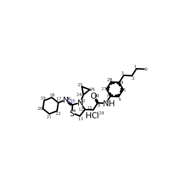 CCCCc1ccc(NC(=O)CC2CS/C(=N\C3CCCCC3)N2C2CC2)cc1.Cl